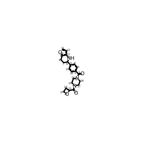 O=C(c1ccc(C2CCc3occc3N2)cc1)N1CCN(C(=O)C2CCO2)CC1